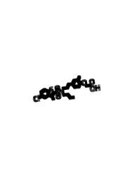 CCCCN(CCCc1ccc(OCC(=O)O)c(C)c1)S(=O)(=O)c1sc2ccc(Cl)cc2c1C